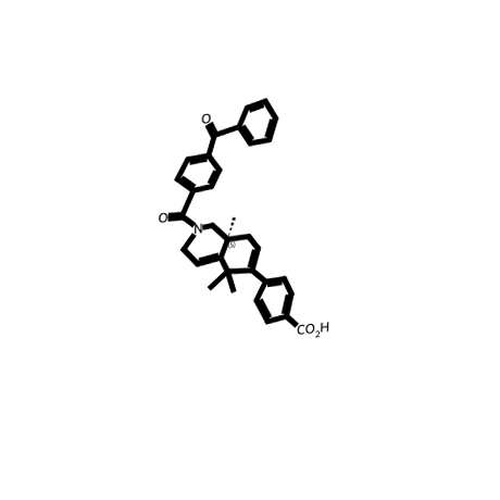 CC1(C)C(c2ccc(C(=O)O)cc2)=CC[C@]2(C)CN(C(=O)c3ccc(C(=O)c4ccccc4)cc3)CC=C12